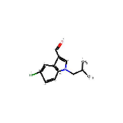 CC(C)Cn1cc(C=O)c2cc(Cl)ccc21